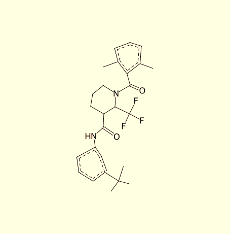 Cc1cccc(C)c1C(=O)N1CCCC(C(=O)Nc2cccc(C(C)(C)C)c2)C1C(F)(F)F